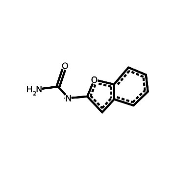 NC(=O)[N]c1cc2ccccc2o1